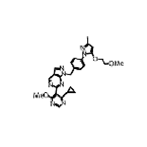 COCCOc1cc(C)nn1-c1ccc(Cn2ncc3cnc(-c4c(OC)ncnc4C4CC4)nc32)cc1